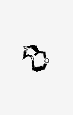 C1=CN2CSC=C2CO1